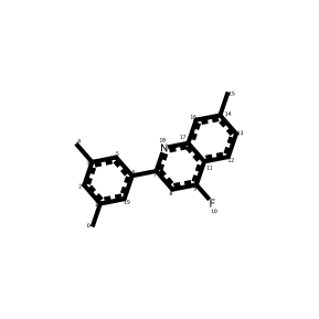 Cc1cc(C)cc(-c2cc(F)c3ccc(C)cc3n2)c1